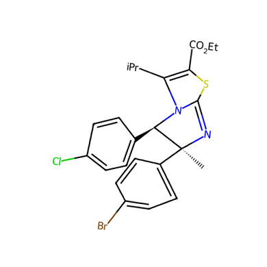 CCOC(=O)C1=C(C(C)C)N2C(=N[C@@](C)(c3ccc(Br)cc3)[C@H]2c2ccc(Cl)cc2)S1